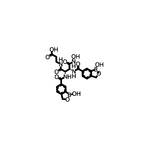 O=C(O)CCNC(=O)[C@@H](NC(=O)c1ccc2c(c1)B(O)OC2)[C@@H](NC(=O)c1ccc2c(c1)B(O)OC2)C(=O)NO